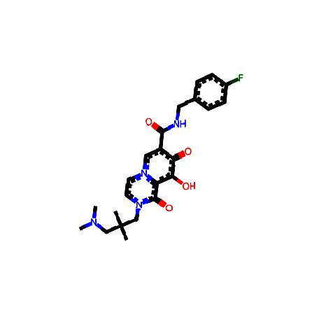 CN(C)CC(C)(C)Cn1ccn2cc(C(=O)NCc3ccc(F)cc3)c(=O)c(O)c2c1=O